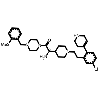 CSc1ccccc1CN1CCN(C(=O)[C@H](N)C2CCN(CCc3cc(Cl)ccc3C3=CCNCC3)CC2)CC1